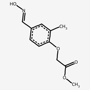 COC(=O)COc1ccc(C=NO)cc1C